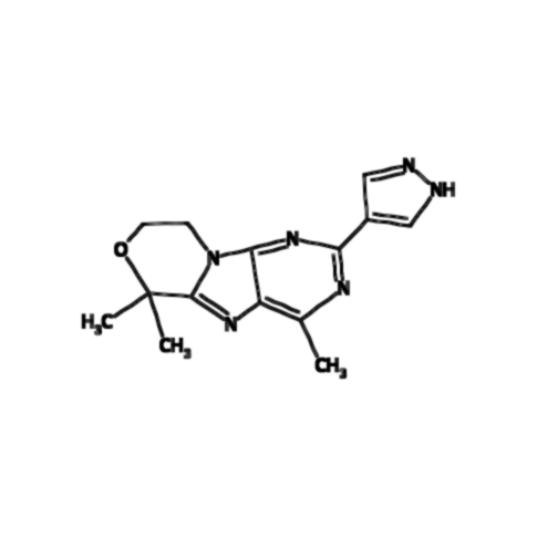 Cc1nc(-c2cn[nH]c2)nc2c1nc1n2CCOC1(C)C